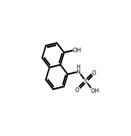 O=S(=O)(O)Nc1cccc2cccc(O)c12